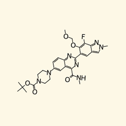 CNC(=O)c1nc(-c2cc3cn(C)nc3c(F)c2OCOC)nc2ccc(N3CCN(C(=O)OC(C)(C)C)CC3)cc12